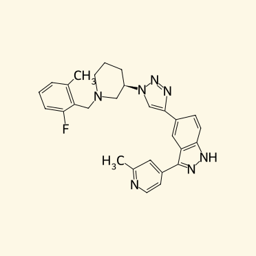 Cc1cc(-c2n[nH]c3ccc(-c4cn([C@@H]5CCCN(Cc6c(C)cccc6F)C5)nn4)cc23)ccn1